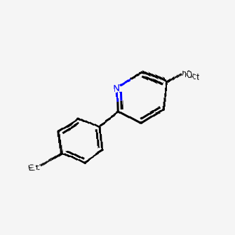 CCCCCCCCc1ccc(-c2ccc(CC)cc2)nc1